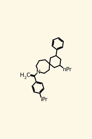 C=C(c1ccc(C(C)C)cc1)N1CCCC2(CC1)CC(CCC)CC(c1ccccc1)C2